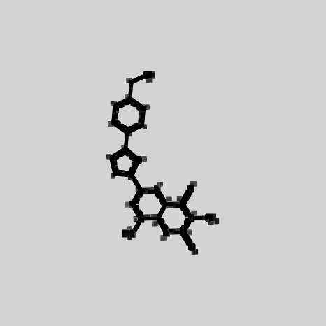 Cn1nc(-c2ccc(-c3ccc(CO)cc3)o2)nc2c(=O)n(C)c(=O)nc1-2